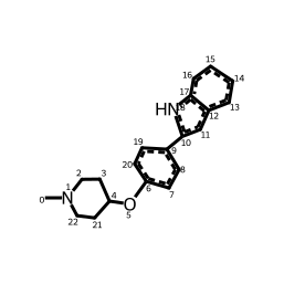 CN1CCC(Oc2ccc(-c3cc4ccccc4[nH]3)cc2)CC1